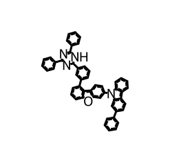 c1ccc(C2=NC(c3cccc(-c4cccc5oc6cc(-n7c8ccccc8c8ccc(-c9ccccc9)cc87)ccc6c45)c3)NC(c3ccccc3)=N2)cc1